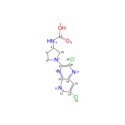 O=C(O)NC1CCN(c2nc3ncc(Cl)cc3nc2Cl)C1